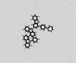 C1=CCCC(c2ccc(-c3cc(-n4c5ccccc5c5c(-c6cccc7c8ccccc8n(-c8ccccc8)c67)cccc54)cc4c3sc3ccccc34)cc2)=C1